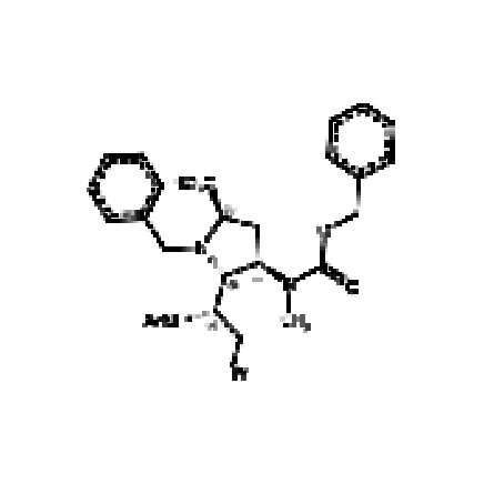 CC(=O)N[C@@H](CC(C)C)[C@H]1[C@H](N(C)C(=O)OCc2ccccc2)C[C@H](C(=O)O)N1Cc1ccccc1